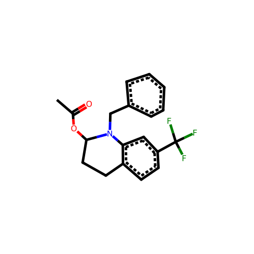 CC(=O)OC1CCc2ccc(C(F)(F)F)cc2N1Cc1ccccc1